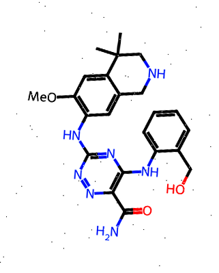 COc1cc2c(cc1Nc1nnc(C(N)=O)c(Nc3ccccc3CO)n1)CNCC2(C)C